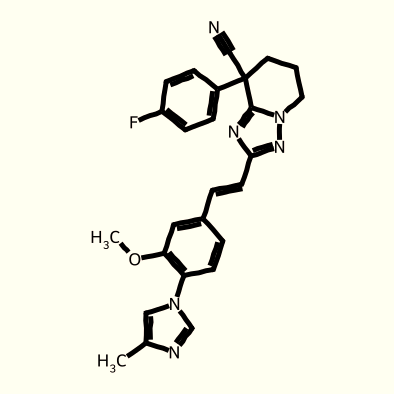 COc1cc(C=Cc2nc3n(n2)CCCC3(C#N)c2ccc(F)cc2)ccc1-n1cnc(C)c1